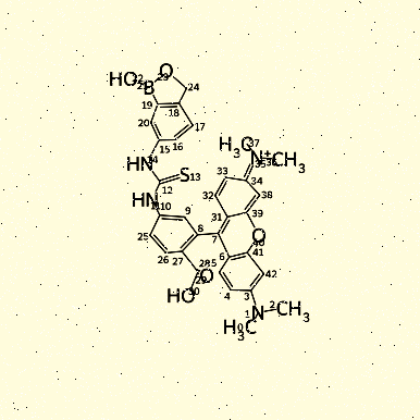 CN(C)c1ccc2c(-c3cc(NC(=S)Nc4ccc5c(c4)B(O)OC5)ccc3C(=O)O)c3ccc(=[N+](C)C)cc-3oc2c1